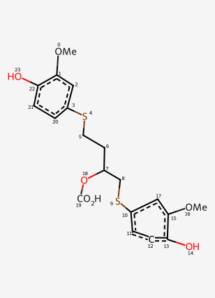 COc1cc(SCCC(CSc2ccc(O)c(OC)c2)OC(=O)O)ccc1O